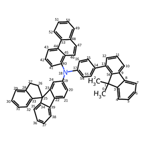 CC1(C)c2ccccc2-c2cccc(-c3ccc(N(c4ccc5c(c4)C4(CCc6ccccc64)c4ccccc4-5)c4cccc5c4ccc4ccccc45)cc3)c21